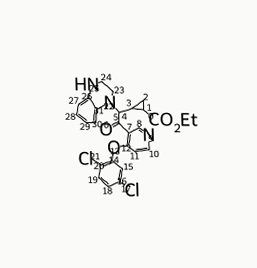 CCOC(=O)C1CC1C(C(=O)c1cnccc1Oc1cc(Cl)ccc1Cl)N1CCNc2ccccc21